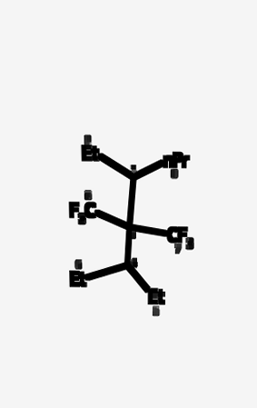 CCCC(CC)C(C(CC)CC)(C(F)(F)F)C(F)(F)F